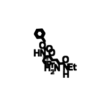 CCNC(=O)C(N)CCC(=O)[C@@H](CC(C)C)NC(=O)OCc1ccccc1